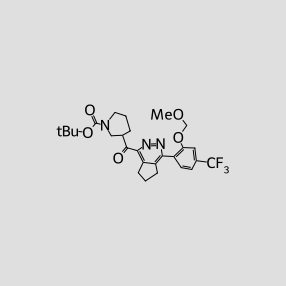 COCOc1cc(C(F)(F)F)ccc1-c1nnc(C(=O)C2CCCN(C(=O)OC(C)(C)C)C2)c2c1CCC2